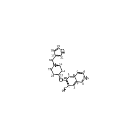 Fc1cc2cnccc2cc1OC1CCN(Cc2ccoc2)CC1